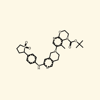 Cc1c(N2CCc3cnc(Nc4ccc(C5CCCS5(=O)=O)cc4)cc3C2)cnc2c1N(C(=O)OC(C)(C)C)CCO2